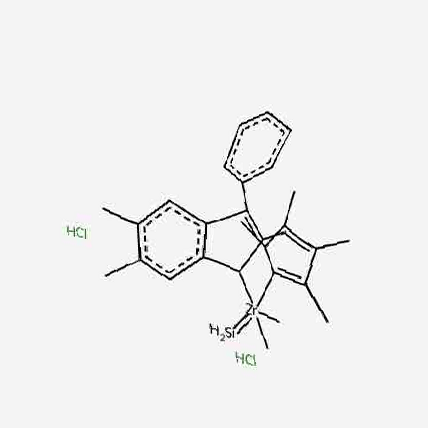 CC1=C(C)C(C)[C]([Zr]([CH3])([CH3])(=[SiH2])[CH]2C(C)=C(c3ccccc3)c3cc(C)c(C)cc32)=C1C.Cl.Cl